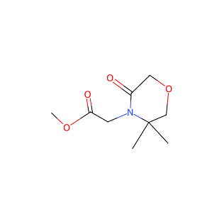 COC(=O)CN1C(=O)COCC1(C)C